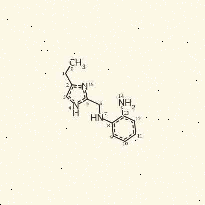 CCc1c[nH]c(CNc2ccccc2N)n1